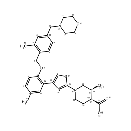 Cc1ccc(OCc2ccc(CN3CCOCC3)cc2C)c(-c2csc(N3CC[C@H](C(=O)O)[C@H](C)C3)n2)c1